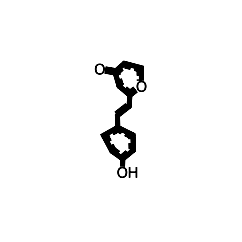 O=c1ccoc(/C=C/c2ccc(O)cc2)c1